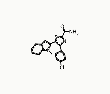 Cn1c(-c2sc(C(N)=O)nc2-c2ccc(Cl)cc2)cc2ccccc21